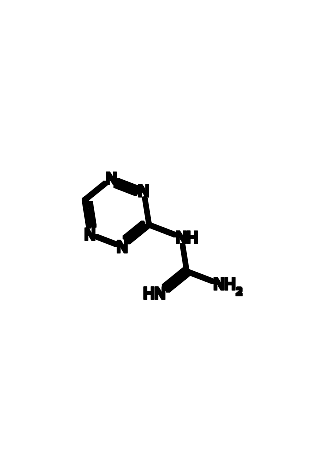 N=C(N)Nc1nncnn1